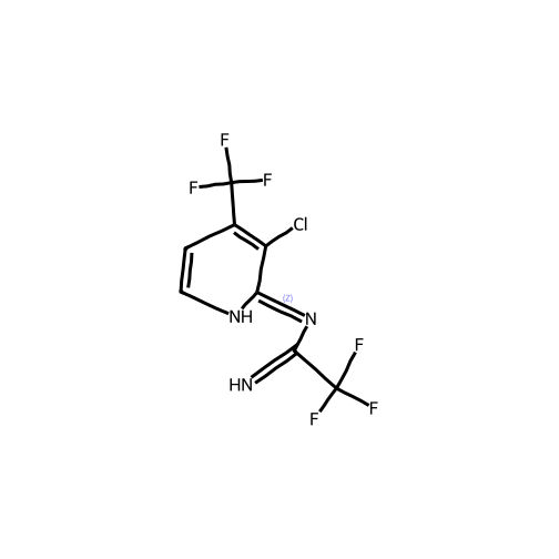 N=C(/N=c1\[nH]ccc(C(F)(F)F)c1Cl)C(F)(F)F